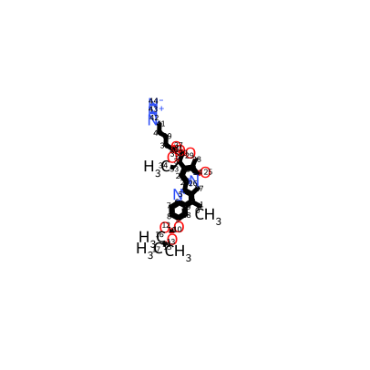 CCc1c2c(nc3ccc(OC(=O)OC(C)(C)C)cc13)-c1cc3c(c(=O)n1C2)COC(=O)[C@@]3(CC)OC(=O)CCCCN=[N+]=[N-]